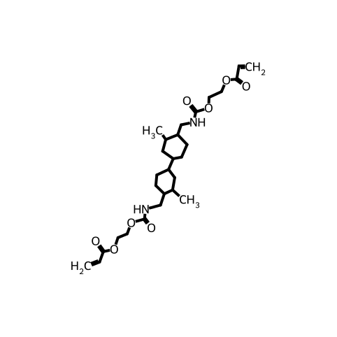 C=CC(=O)OCCOC(=O)NCC1CCC(C2CCC(CNC(=O)OCCOC(=O)C=C)C(C)C2)CC1C